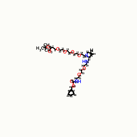 CC(C)(C)OC(=O)CCOCCOCCOCCOCCN1C[C@@H]2CC2[C@H]1CNCCOCCOCCNC(=O)OCc1ccccc1